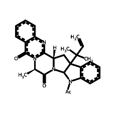 C=CC(C)(C)C12C[C@H]3c4nc5ccccc5c(=O)n4[C@H](C)C(=O)N3C1N(C(C)=O)c1ccccc12